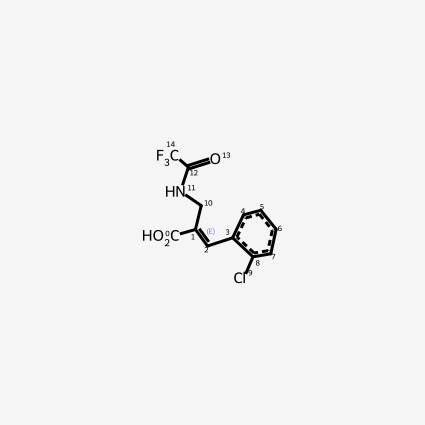 O=C(O)/C(=C/c1ccccc1Cl)CNC(=O)C(F)(F)F